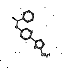 C[C@H](Oc1ccc(-c2ccc(C(=O)O)o2)nc1)c1ccccc1